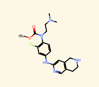 CN(C)CCN(C(=O)OC(C)(C)C)c1ccc(Nc2cc3c(cn2)CCNC3)cc1F